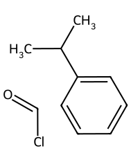 CC(C)c1ccccc1.O=CCl